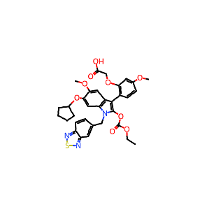 CCOC(=O)Oc1c(-c2ccc(OC)cc2OCC(=O)O)c2cc(OC)c(OC3CCCC3)cc2n1Cc1ccc2nsnc2c1